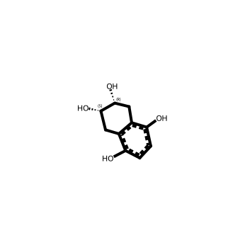 Oc1ccc(O)c2c1C[C@@H](O)[C@@H](O)C2